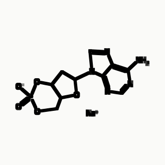 Nc1ncnc2c1ncn2C1CC2OP(=O)([O-])OCC2O1.[Na+]